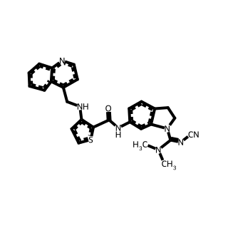 CN(C)/C(=N/C#N)N1CCc2ccc(NC(=O)c3sccc3NCc3ccnc4ccccc34)cc21